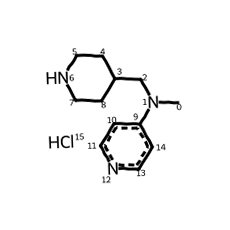 CN(CC1CCNCC1)c1ccncc1.Cl